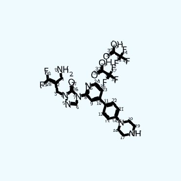 NCC(Cn1ncn(-c2cc(-c3ccc(N4CCNCC4)cc3)ccn2)c1=O)=C(F)F.O=C(O)C(F)(F)F.O=C(O)C(F)(F)F